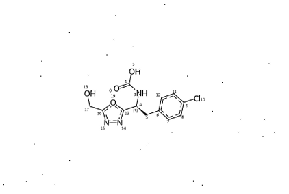 O=C(O)N[C@@H](Cc1ccc(Cl)cc1)c1nnc(CO)o1